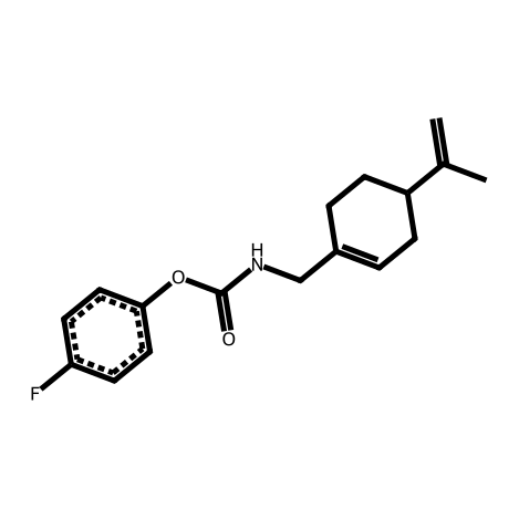 C=C(C)C1CC=C(CNC(=O)Oc2ccc(F)cc2)CC1